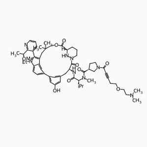 CCn1c(-c2cccnc2[C@H](C)OC)c2c3cc(ccc31)-c1cc(O)cc(c1)C[C@H](NC(=O)[C@H](C(C)C)N(C)C(=O)[C@H]1CCN(C(=O)C#CCCOCCN(C)C)C1)C(=O)N1CCC[C@H](N1)C(=O)OCC(C)(C)C2